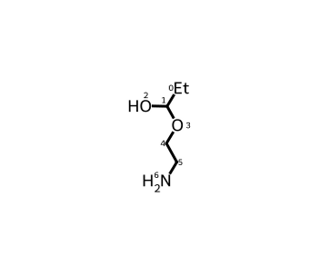 CCC(O)OCCN